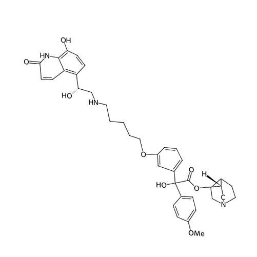 COc1ccc(C(O)(C(=O)O[C@H]2CN3CCC2CC3)c2cccc(OCCCCCNC[C@H](O)c3ccc(O)c4[nH]c(=O)ccc34)c2)cc1